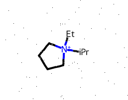 CC[N+]1(C(C)C)CCCC1